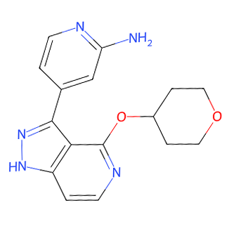 Nc1cc(-c2n[nH]c3ccnc(OC4CCOCC4)c23)ccn1